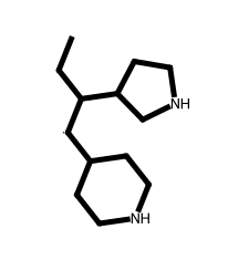 CCC([CH]C1CCNCC1)C1CCNC1